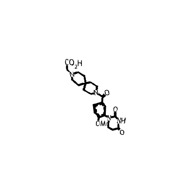 COc1ccc(C(=O)N2CCC3(CCN(CC(=O)O)CC3)CC2)cc1N1CCC(=O)NC1=O